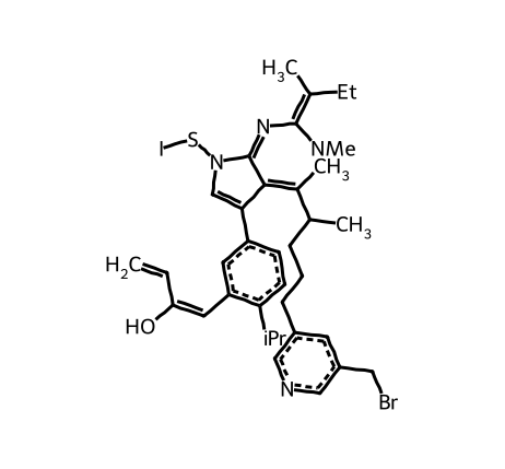 C=C/C(O)=C\c1cc(C2=CN(SI)C(=N/C(NC)=C(\C)CC)/C2=C(\C)C(C)CCCc2cncc(CBr)c2)ccc1C(C)C